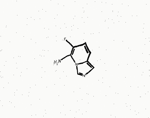 Nc1c(F)ccc2cncn12